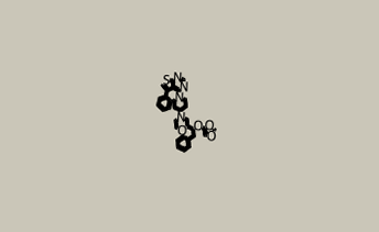 C1=C(OC(Cc2ccccc2)C2CN(C3CCN(c4ncnc5scc(-c6ccccc6)c45)CC3)CCO2)OCO1